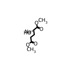 COC(=O)CCCC(=O)OC.[Na+].[OH-]